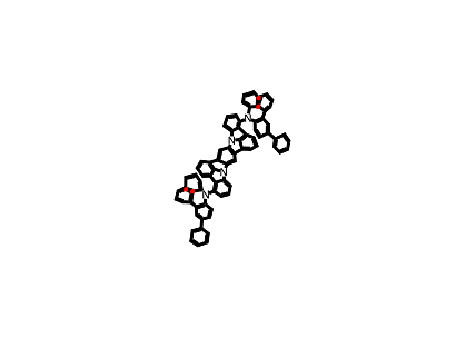 c1ccc(-c2ccc(N(c3ccccc3)c3cccc4c3c3cccc5c6cc7c(cc6n4c53)c3cccc4c5c(N(c6ccccc6)c6ccc(-c8ccccc8)cc6-c6ccccc6)cccc5n7c34)c(-c3ccccc3)c2)cc1